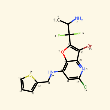 CC(N)C(F)(F)c1oc2c(NCc3cccs3)cc(Cl)nc2c1Br